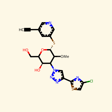 C#Cc1cncc(S[C@H]2OC(CO)[C@H](O)C(n3cc(-c4nc(Cl)cs4)nn3)C2OC)c1